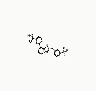 O=C(O)c1cccc(-c2cccn3cc(Cc4cccc(C(F)(F)F)c4)nc23)c1